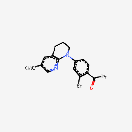 CCc1cc(N2CCCc3cc(C=O)cnc32)ccc1C(=O)C(C)C